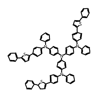 C1=C(c2ccc(N(c3ccccc3)c3ccc(N(c4ccc(N(c5ccccc5)c5ccc(-c6ccc(-c7ccccc7)s6)cc5)cc4)c4ccc(N(c5ccccc5)c5ccc(-c6ccc(-c7ccccc7)s6)cc5)cc4)cc3)cc2)SC(c2ccccc2)C1